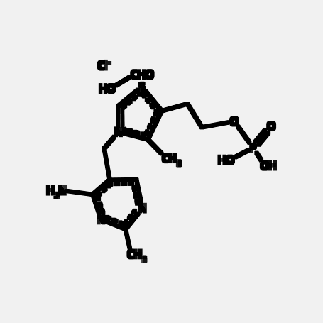 Cc1ncc(C[n+]2csc(CCOP(=O)(O)O)c2C)c(N)n1.O=CO.[Cl-]